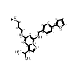 CC(C)c1cnn2c(NCc3ccc(-c4ccco4)nc3)nc(NCCCO)nc12